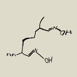 CCCC(C=NO)C[CH]CC(C)C=NO